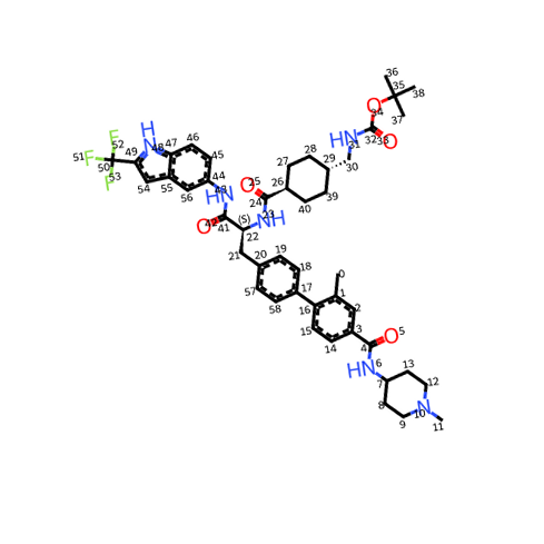 Cc1cc(C(=O)NC2CCN(C)CC2)ccc1-c1ccc(C[C@H](NC(=O)[C@H]2CC[C@H](CNC(=O)OC(C)(C)C)CC2)C(=O)Nc2ccc3[nH]c(C(F)(F)F)cc3c2)cc1